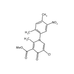 COC(=O)c1c(C)n(-c2cc([N+](=O)[O-])c(C)cc2C)cc(Cl)c1=O